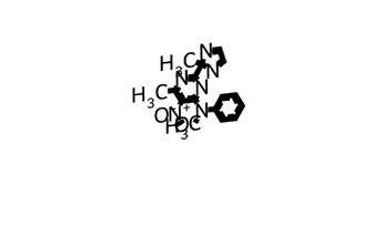 Cc1nc(C2(C)N=CC=N2)nc(N(C)c2ccccc2)c1[N+](=O)[O-]